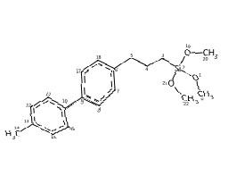 CO[Si](CCCc1ccc(-c2ccc(C)cc2)cc1)(OC)OC